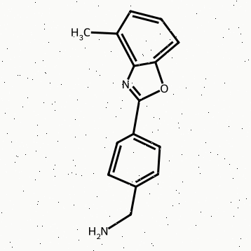 Cc1cccc2oc(-c3ccc(CN)cc3)nc12